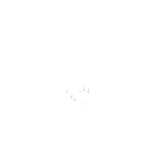 BOCOC1CCCC(C=N)/C(=C(/C)N)CC1